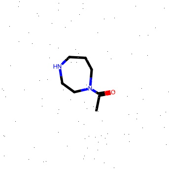 [CH2]C(=O)N1CCCNCC1